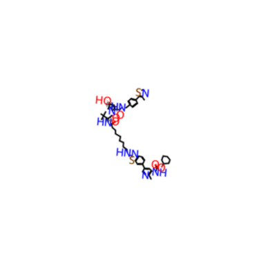 Cc1ncc(-c2ccc3nc(NCCCCCCCCC(=O)N[C@H](C(=O)N4C[C@H](O)C[C@H]4C(=O)NCc4ccc(-c5scnc5C)cc4)C(C)(C)C)sc3c2)cc1NC(=O)OC1CCCCC1